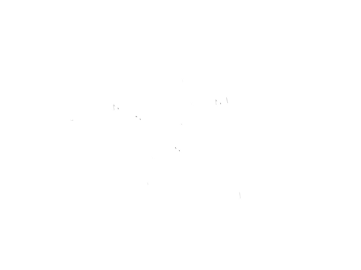 CC(C)c1cc2n(n1)CC(C)(C(=O)NC1CCCCCCC1)N(Cc1ccccc1Cl)C2=O